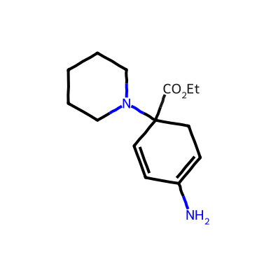 CCOC(=O)C1(N2CCCCC2)C=CC(N)=CC1